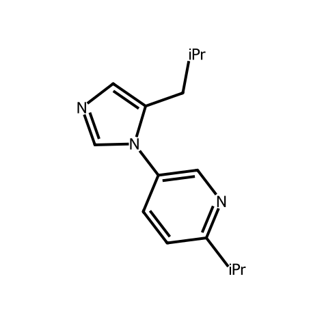 CC(C)Cc1cncn1-c1ccc(C(C)C)nc1